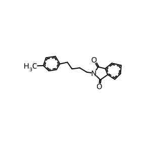 Cc1ccc(CCCCN2C(=O)c3ccccc3C2=O)cc1